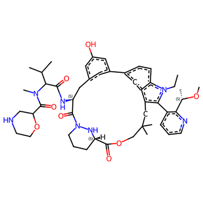 CCn1c(-c2cccnc2[C@H](C)OC)c2c3cc(ccc31)-c1cc(O)cc(c1)C[C@H](NC(=O)C(C(C)C)N(C)C(=O)C1CNCCO1)C(=O)N1CCC[C@H](N1)C(=O)OCC(C)(C)C2